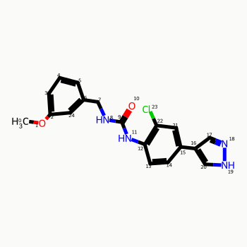 COc1cccc(CNC(=O)Nc2ccc(-c3cn[nH]c3)cc2Cl)c1